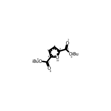 CC(C)COC(=O)c1ccc(C(=O)OCC(C)C)o1